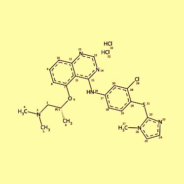 C[C@H](CN(C)C)Oc1cccc2ncnc(Nc3ccc(Sc4nccn4C)c(Cl)c3)c12.Cl.Cl